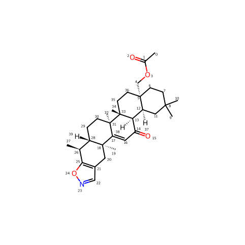 CC(=O)OC[C@]12CCC(C)(C)C[C@H]1[C@H]1C(=O)C=C3[C@@]4(C)Cc5cnoc5[C@@H](C)[C@@H]4CC[C@@]3(C)[C@]1(C)CC2